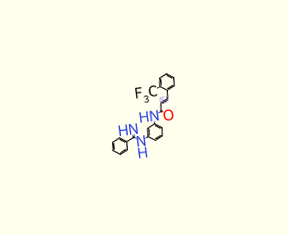 N=C(Nc1cccc(NC(=O)/C=C/c2ccccc2C(F)(F)F)c1)c1ccccc1